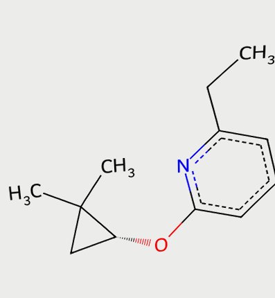 CCc1cccc(O[C@@H]2CC2(C)C)n1